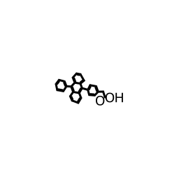 O=C(O)Cc1ccc(-c2c3ccccc3c(-c3ccccc3)c3ccccc23)cc1